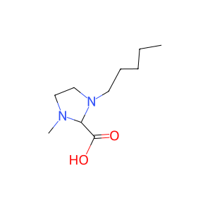 CCCCCN1CCN(C)C1C(=O)O